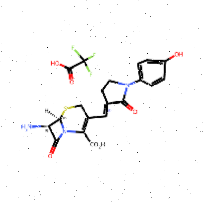 N[C@@H]1C(=O)N2C(C(=O)O)=C(/C=C3\CCN(c4ccc(O)cc4)C3=O)CS[C@H]12.O=C(O)C(F)(F)F